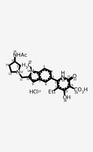 CCc1c(-c2ccc3c(c2)cc(CN2CCC(NC(C)=O)C2)n3C)[nH]c(=O)c(C(=O)O)c1O.Cl